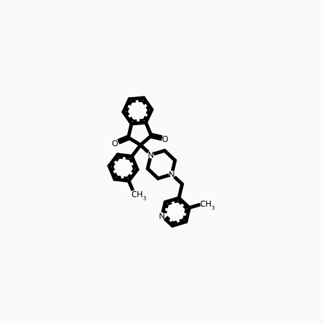 Cc1cccc(C2(N3CCN(Cc4cnccc4C)CC3)C(=O)c3ccccc3C2=O)c1